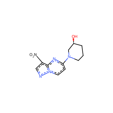 O=[N+]([O-])c1cnn2ccc(N3CCC[C@H](O)C3)nc12